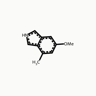 COc1cc(C)c2c[nH]cc2c1